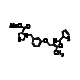 COC(=O)[C@@H]1CSCN1Cc1cccc(OCc2nc(-c3cccs3)oc2C)c1